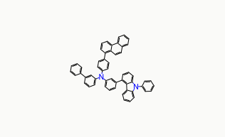 c1ccc(-c2cccc(N(c3ccc(-c4cccc5c4ccc4ccccc45)cc3)c3cccc(-c4cccc5c4c4ccccc4n5-c4ccccc4)c3)c2)cc1